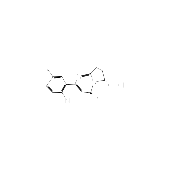 CCOC(=O)[C@@H]1CCc2nc(-c3cc(Cl)ccc3N)cc(=O)n21